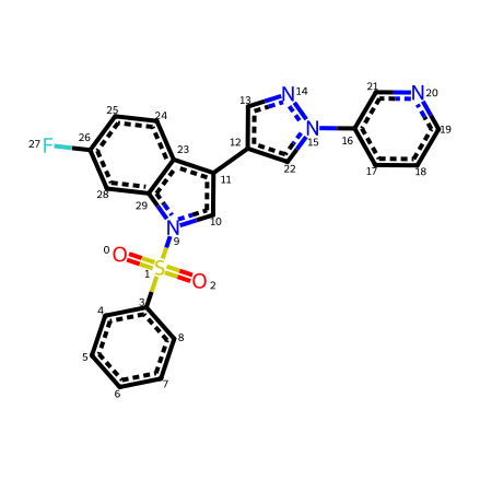 O=S(=O)(c1ccccc1)n1cc(-c2cnn(-c3cccnc3)c2)c2ccc(F)cc21